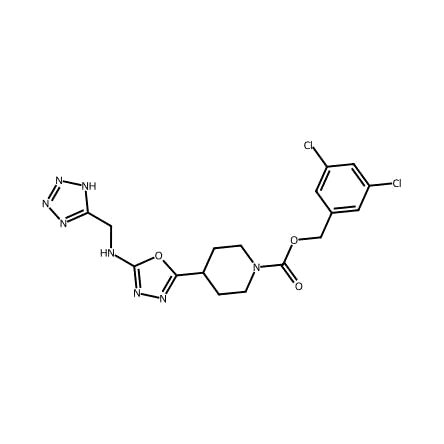 O=C(OCc1cc(Cl)cc(Cl)c1)N1CCC(c2nnc(NCc3nnn[nH]3)o2)CC1